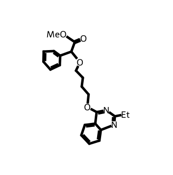 CCc1nc(OCCCCOC(C(=O)OC)c2ccccc2)c2ccccc2n1